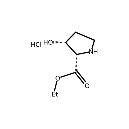 CCOC(=O)[C@H]1NCC[C@H]1O.Cl